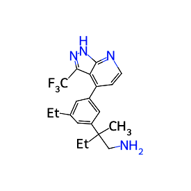 CCc1cc(-c2ccnc3[nH]nc(C(F)(F)F)c23)cc(C(C)(CC)CN)c1